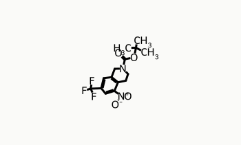 CC(C)(C)OC(=O)N1CCc2c(cc(C(F)(F)F)cc2[N+](=O)[O-])C1